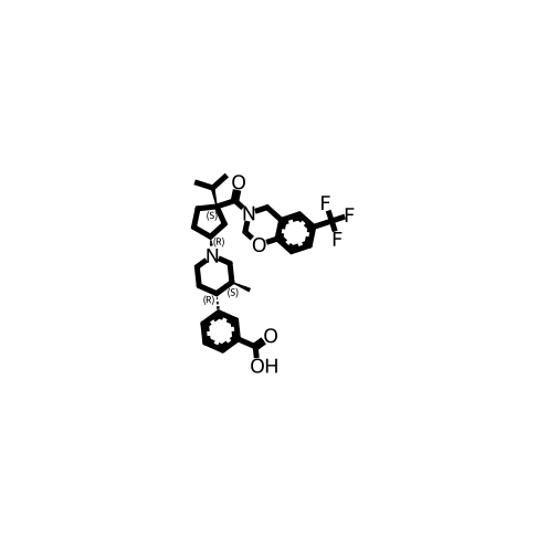 CC(C)[C@]1(C(=O)N2COc3ccc(C(F)(F)F)cc3C2)CC[C@@H](N2CC[C@@H](c3cccc(C(=O)O)c3)[C@H](C)C2)C1